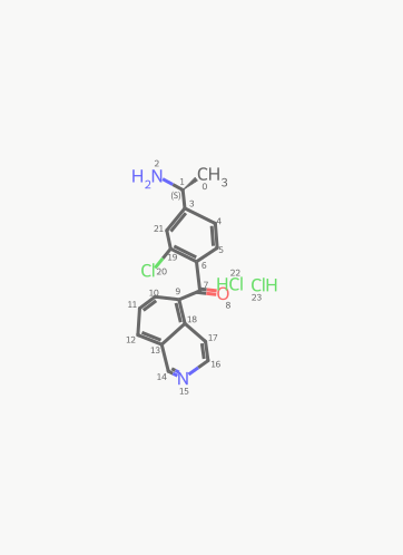 C[C@H](N)c1ccc(C(=O)c2cccc3cnccc23)c(Cl)c1.Cl.Cl